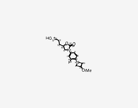 COC1CN(c2ccc(N3CC(CCS(=O)(=O)O)OC3=O)cc2F)C1